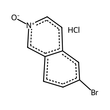 Cl.[O-][n+]1ccc2cc(Br)ccc2c1